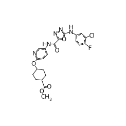 COC(=O)C1CCC(Oc2ccc(NC(=O)c3nnc(Nc4ccc(F)c(Cl)c4)o3)cn2)CC1